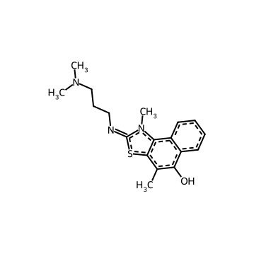 Cc1c(O)c2ccccc2c2c1s/c(=N/CCCN(C)C)n2C